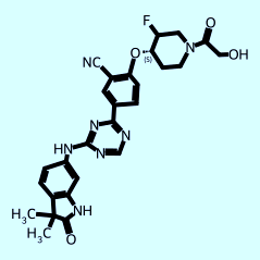 CC1(C)C(=O)Nc2cc(Nc3ncnc(-c4ccc(O[C@H]5CCN(C(=O)CO)CC5F)c(C#N)c4)n3)ccc21